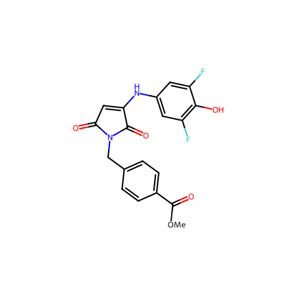 COC(=O)c1ccc(CN2C(=O)C=C(Nc3cc(F)c(O)c(F)c3)C2=O)cc1